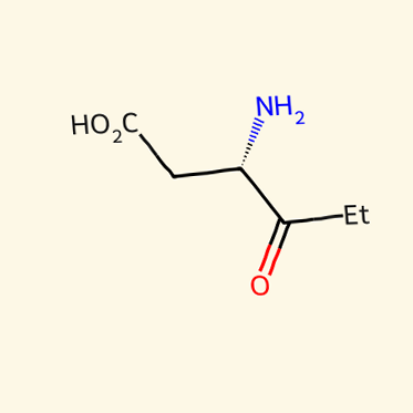 CCC(=O)[C@@H](N)CC(=O)O